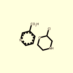 ClC1CNCCO1.O=C(O)c1cccnc1